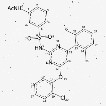 CC(=O)Nc1cccc(S(=O)(=O)Nc2nc(Oc3ccccc3Cl)cc(-c3c(C)cccc3C)n2)c1